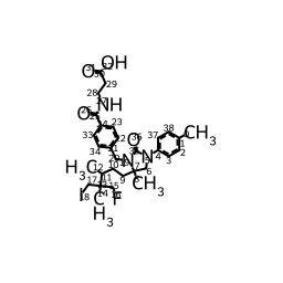 Cc1ccc(N2CC(C)(CCC(C)C(C)(CF)CI)N(Cc3ccc(C(=O)NCCC(=O)O)cc3)C2=O)cc1